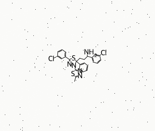 Cc1nnc(N2N=C(c3cccc(Cl)c3)SC2(CCC(N)c2cccc(Cl)c2)c2ccccc2)s1